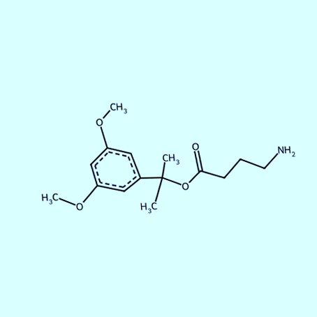 COc1cc(OC)cc(C(C)(C)OC(=O)CCCN)c1